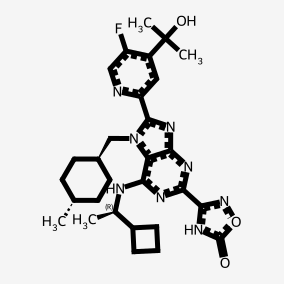 C[C@@H](Nc1nc(-c2noc(=O)[nH]2)nc2nc(-c3cc(C(C)(C)O)c(F)cn3)n(C[C@H]3CC[C@H](C)CC3)c12)C1CCC1